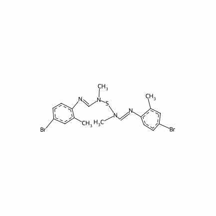 Cc1cc(Br)ccc1N=CN(C)SN(C)C=Nc1ccc(Br)cc1C